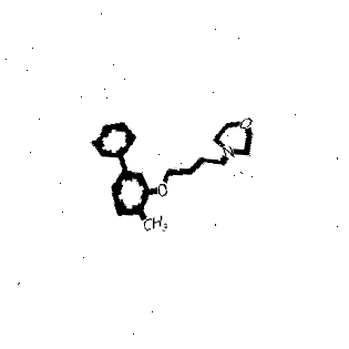 Cc1ccc(-c2ccccc2)cc1OCCCCN1CCOCC1